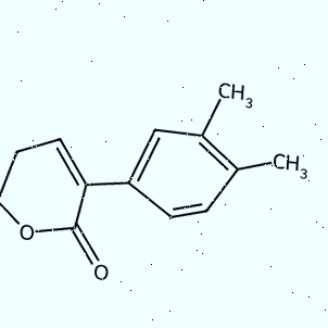 Cc1ccc(C2=CCCOC2=O)cc1C